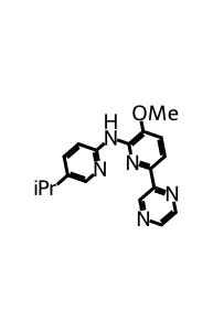 COc1ccc(-c2cnccn2)nc1Nc1ccc(C(C)C)cn1